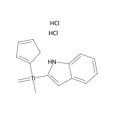 Cl.Cl.[CH2]=[Ti]([CH3])([C]1=CC=CC1)[c]1cc2ccccc2[nH]1